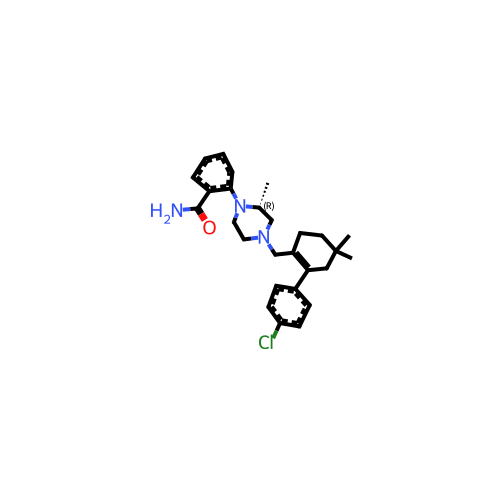 C[C@@H]1CN(CC2=C(c3ccc(Cl)cc3)CC(C)(C)CC2)CCN1c1ccccc1C(N)=O